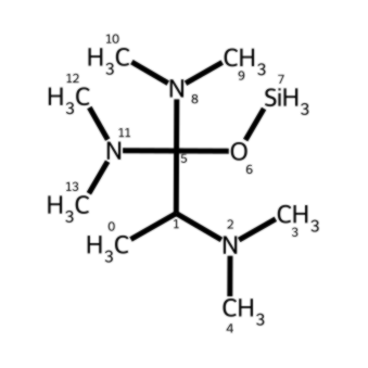 CC(N(C)C)C(O[SiH3])(N(C)C)N(C)C